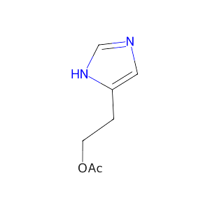 CC(=O)OCCc1cnc[nH]1